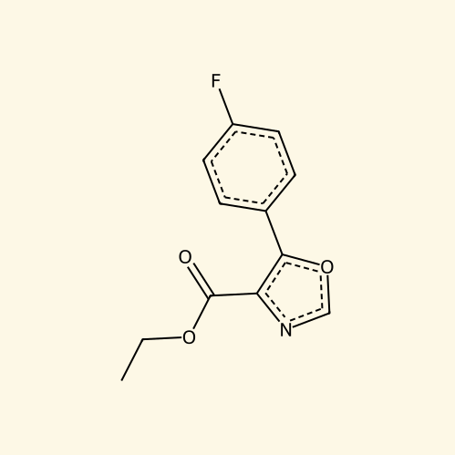 CCOC(=O)c1ncoc1-c1ccc(F)cc1